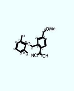 COCc1ccc(C(O)C#N)c(COc2c(C)cccc2C)c1